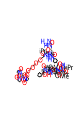 CC[C@H](C)[C@@H]([C@@H](CC(=O)N1CCC[C@H]1[C@H](OC)[C@@H](C)C(=O)N[C@H](C)[C@@H](O)c1ccccc1)OC)N(C)C(=O)[C@@H](NC(=O)[C@H](C(C)C)N(C)C(=O)OCc1ccc(NC(=O)[C@H](CCCNC(N)=O)NC(=O)[C@@H](NC(=O)CCOCCOCCOCCOCCOC(CN2C(=O)C=CC2=O)(CN2C(=O)C=CC2=O)CN2C(=O)C=CC2=O)C(C)C)cc1)C(C)C